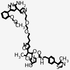 COCOc1ccccc1-c1cc(-c2cnn(CCOCCOCCCc3cc(C(C(=O)N4C[C@H](O)C[C@H]4C(=O)NCc4ccc(-c5scnc5C)cc4)C(C)C)on3)c2)c(N)nn1